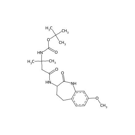 COc1ccc2c(c1)NC(=O)C(NC(=O)CC(C)(C)NC(=O)OC(C)(C)C)CC2